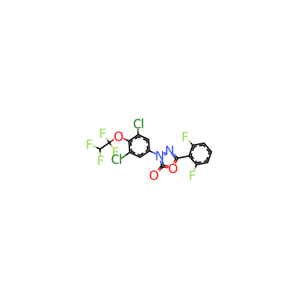 O=c1oc(-c2c(F)cccc2F)nn1-c1cc(Cl)c(OC(F)(F)C(F)F)c(Cl)c1